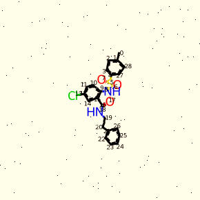 Cc1ccc(S(=O)(=O)Nc2ccc(Cl)cc2C(=O)NCCc2ccccc2)cc1